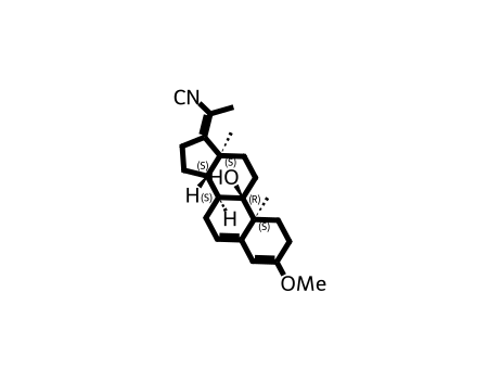 [C-]#[N+]C(C)=C1CC[C@H]2[C@@H]3CC=C4C=C(OC)CC[C@]4(C)[C@@]3(O)CC[C@]12C